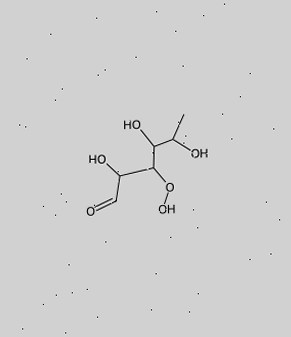 CC(O)C(O)C(OO)C(O)C=O